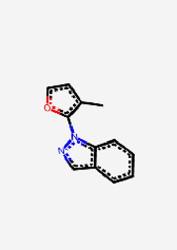 Cc1ccoc1-n1ncc2ccccc21